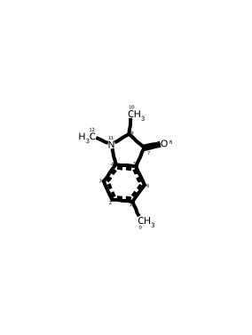 Cc1ccc2c(c1)C(=O)C(C)N2C